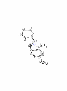 Nc1ccc(/N=N/c2cccnc2)c(N)n1